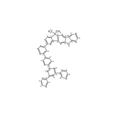 CC1(C)c2ccc(-c3cccc(-c4ccc(-c5nc(-c6ccccc6)nc(-c6ccccc6)n5)cc4)c3)cc2-c2cc3oc4ccccc4c3cc21